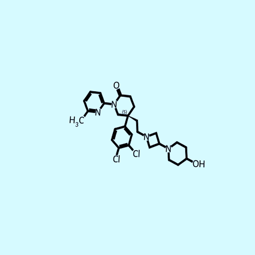 Cc1cccc(N2C[C@@](CCN3CC(N4CCC(O)CC4)C3)(c3ccc(Cl)c(Cl)c3)CCC2=O)n1